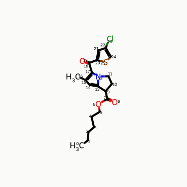 CCCCCCOC(=O)C1CCn2c1cc(C)c2C(=O)c1cc(Cl)cs1